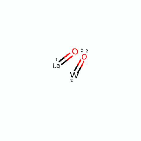 [O]=[La].[O]=[W]